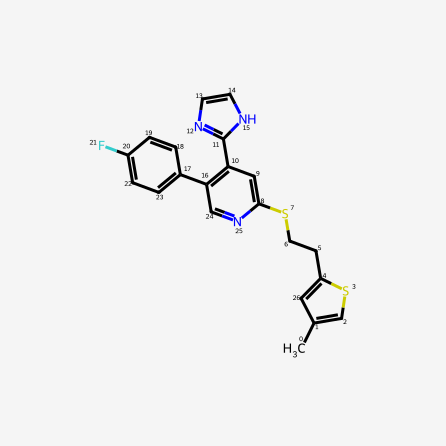 Cc1csc(CCSc2cc(-c3ncc[nH]3)c(-c3ccc(F)cc3)cn2)c1